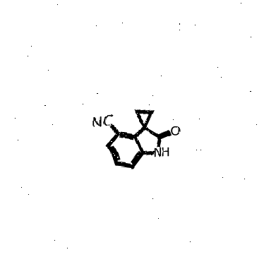 N#Cc1cccc2c1C1(CC1)C(=O)N2